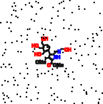 COCc1c(C(=O)OC)[nH]c(/C=N/CO)c1-c1ccc(CO)c(CO)c1CO